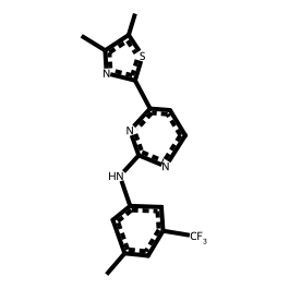 Cc1cc(Nc2nccc(-c3nc(C)c(C)s3)n2)cc(C(F)(F)F)c1